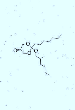 CCCCCCCC1(OCCCCCC)OCC(=O)CO1